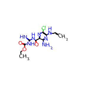 C=CCNc1nc(N)c(C(=O)NC(=N)NC(=O)OCC)nc1Cl